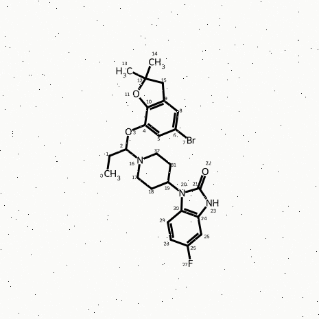 CCC(Oc1cc(Br)cc2c1OC(C)(C)C2)N1CCC(n2c(=O)[nH]c3cc(F)ccc32)CC1